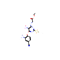 CCOC(=O)CNc1nc(S(C)(=O)=O)nc(Oc2ccc(C#N)cc2N(C)C)c1[N+](=O)[O-]